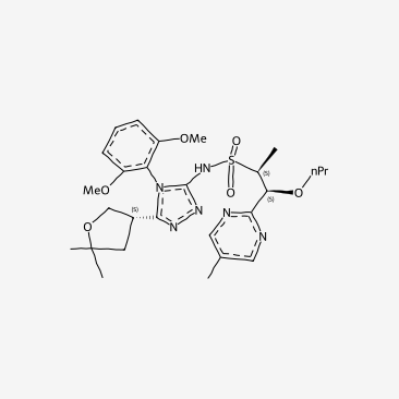 CCCO[C@@H](c1ncc(C)cn1)[C@H](C)S(=O)(=O)Nc1nnc([C@H]2COC(C)(C)C2)n1-c1c(OC)cccc1OC